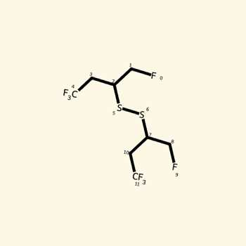 FCC(CC(F)(F)F)SSC(CF)CC(F)(F)F